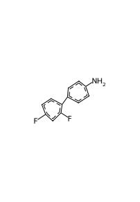 Nc1ccc(-c2ccc(F)cc2F)cc1